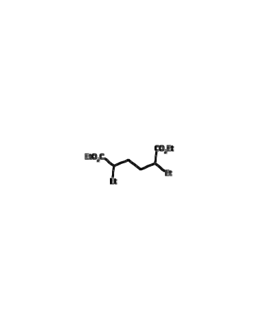 CCOC(=O)C(CC)CCC(CC)C(=O)OCC